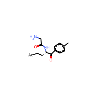 CC(=O)CC[C@H](NC(=O)CN)C(=O)c1ccc(C)cc1